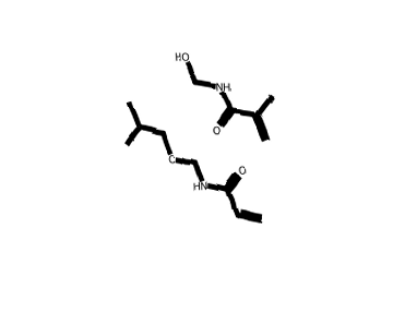 C=C(C)C(=O)NCO.C=CC(=O)NCOCC(C)C